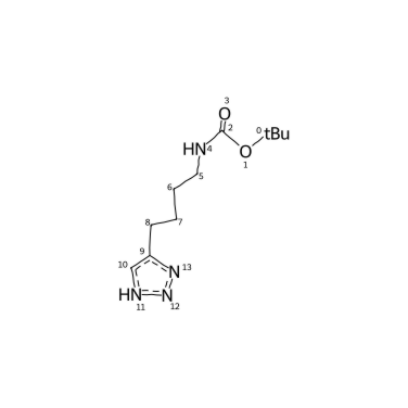 CC(C)(C)OC(=O)NCCCCc1c[nH]nn1